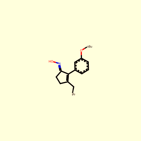 CCCCOc1cccc(C2=C(CC(C)C)CC/C2=N\O)c1